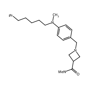 CNC(=O)C1CN(Cc2ccc(N(C)CCCCCC(C)C)cc2)C1